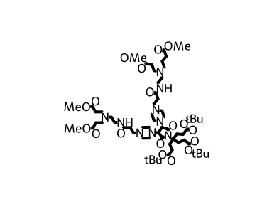 COC(=O)CCCN(CCNC(=O)CCN1CCN(C2C(=O)N(C(CCC(=O)OC(C)(C)C)(CCC(=O)OC(C)(C)C)CCC(=O)OC(C)(C)C)C(=O)C2N2CCN(CCC(=O)NCCN(CCC(=O)OC)CCC(=O)OC)CC2)CC1)CCC(=O)OC